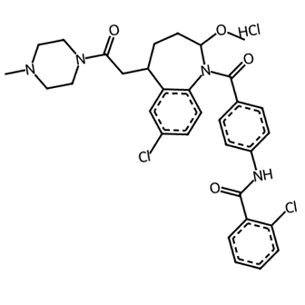 COC1CCC(CC(=O)N2CCN(C)CC2)c2cc(Cl)ccc2N1C(=O)c1ccc(NC(=O)c2ccccc2Cl)cc1.Cl